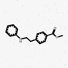 COC(=O)c1ccc(CCNc2ccccc2)cc1